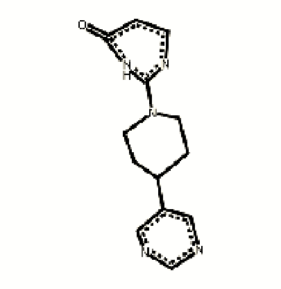 O=c1ccnc(N2CCC(c3cncnc3)CC2)[nH]1